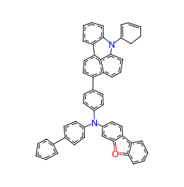 C1=CCCC(N2c3ccccc3-c3ccc(-c4ccc(N(c5ccc(-c6ccccc6)cc5)c5ccc6c(c5)oc5ccccc56)cc4)c4cccc2c34)=C1